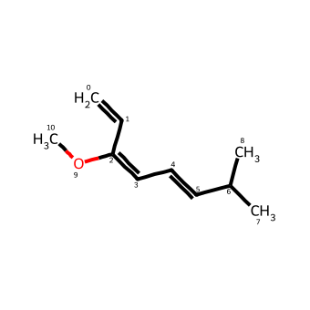 C=C/C(=C\C=C\C(C)C)OC